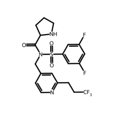 O=C(C1CCCN1)N(Cc1ccnc(CCC(F)(F)F)c1)S(=O)(=O)c1cc(F)cc(F)c1